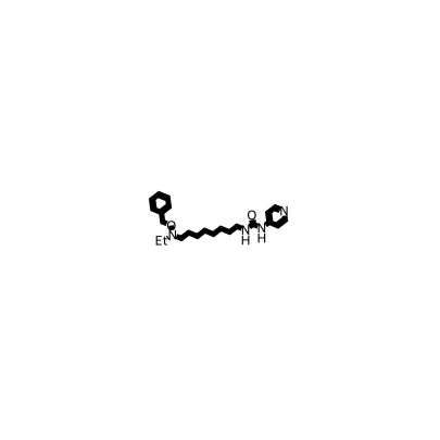 CCN(CCCCCCCCNC(=O)Nc1ccncc1)OCc1ccccc1